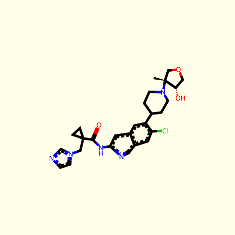 C[C@@]1(N2CCC(c3cc4cc(NC(=O)C5(Cn6ccnc6)CC5)ncc4cc3Cl)CC2)COC[C@@H]1O